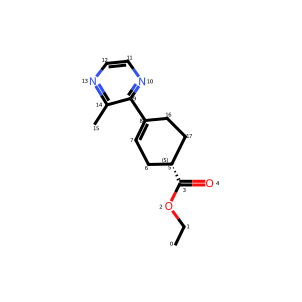 CCOC(=O)[C@@H]1CC=C(c2nccnc2C)CC1